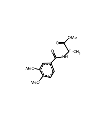 COC(=O)[C@H](C)NC(=O)c1ccc(OC)c(OC)c1